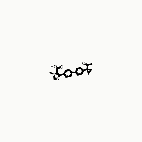 CC(=O)C1(c2ccc(-c3ccc(-c4ncn(C)c4C(=O)O)cc3)cc2)CC1